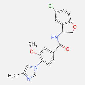 COc1cc(C(=O)NC2COc3ccc(Cl)cc32)ccc1-n1cnc(C)c1